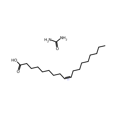 CCCCCCCC/C=C\CCCCCCCC(=O)O.NC(N)=O